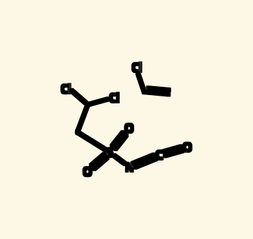 C=CCl.O=C=NS(=O)(=O)CC(Cl)Cl